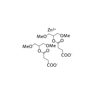 COCC(COC)OC(=O)CCC(=O)[O-].COCC(COC)OC(=O)CCC(=O)[O-].[Zn+2]